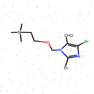 CCc1nc(Br)c(C=O)n1COCC[Si](C)(C)C